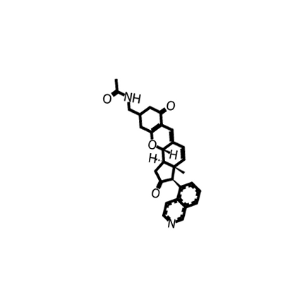 CC(=O)NCC1CC(=O)C2=C(C1)O[C@@H]1C(=C2)C=C[C@]2(C)[C@@H](c3cccc4cnccc34)C(=O)C[C@@H]12